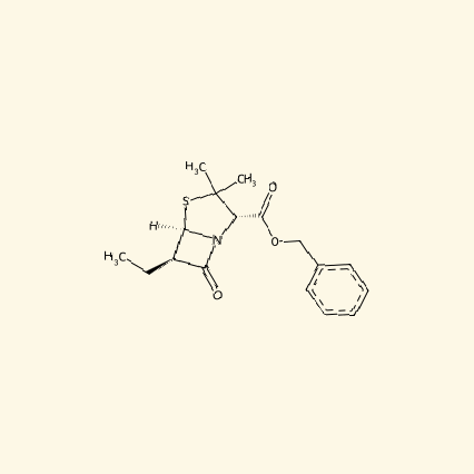 CC[C@@H]1C(=O)N2[C@@H]1SC(C)(C)[C@@H]2C(=O)OCc1ccccc1